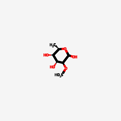 C[C@@H]1OC(O)[C@@H](OS(=O)(=O)O)[C@H](O)[C@@H]1O